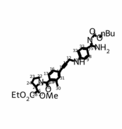 CCCCOC(=O)N=C(N)c1ccc(NCC#Cc2ccc(C(=O)N3CCCC3C(OC)C(=O)OCC)c(C)c2)cc1